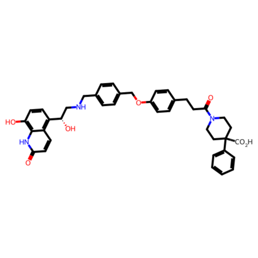 O=C(CCc1ccc(OCc2ccc(CNC[C@H](O)c3ccc(O)c4[nH]c(=O)ccc34)cc2)cc1)N1CCC(C(=O)O)(c2ccccc2)CC1